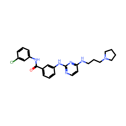 O=C(Nc1cccc(Cl)c1)c1cccc(Nc2nccc(NCCCN3CCCC3)n2)c1